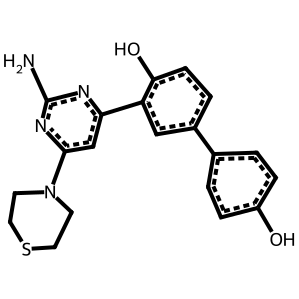 Nc1nc(-c2cc(-c3ccc(O)cc3)ccc2O)cc(N2CCSCC2)n1